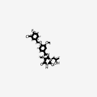 COc1cc(-c2nc3c(c(=O)[nH]c(=O)n3CC(C)O)n2C)ccc1OCc1ccc(F)c(Cl)c1